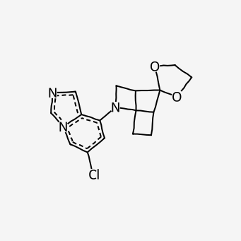 Clc1cc(N2CC3C4(OCCO4)C4CCC432)c2cncn2c1